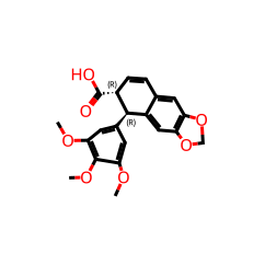 COc1cc([C@@H]2c3cc4c(cc3C=C[C@H]2C(=O)O)OCO4)cc(OC)c1OC